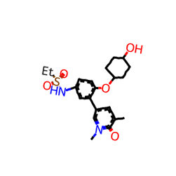 CCS(=O)(=O)Nc1ccc(OC2CCC(O)CC2)c(-c2cc(C)c(=O)n(C)c2)c1